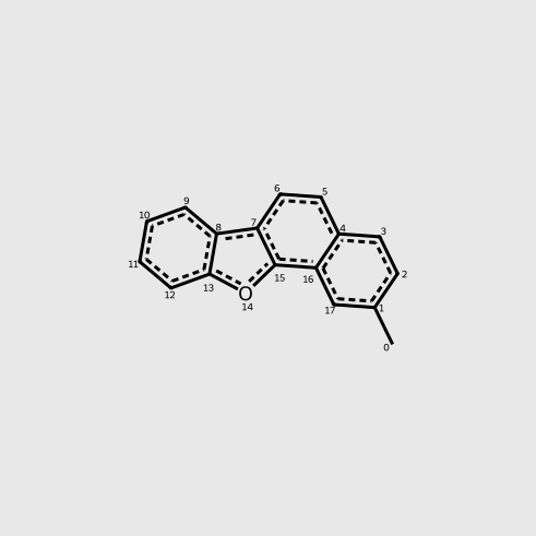 Cc1ccc2ccc3c4ccccc4oc3c2c1